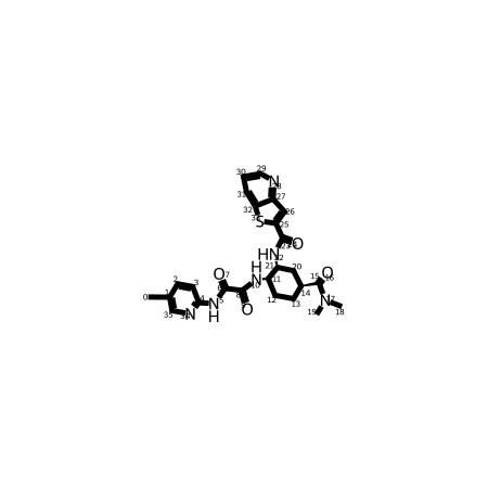 Cc1ccc(NC(=O)C(=O)N[C@H]2CC[C@H](C(=O)N(C)C)C[C@H]2NC(=O)c2cc3ncccc3s2)nc1